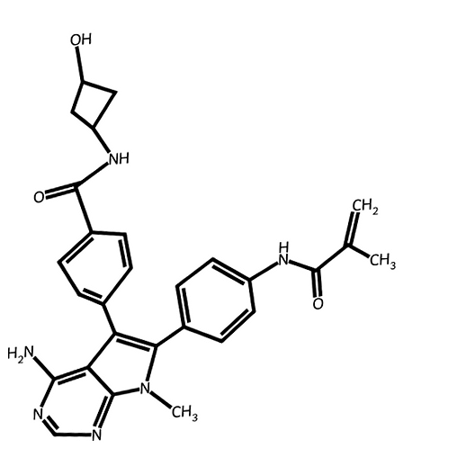 C=C(C)C(=O)Nc1ccc(-c2c(-c3ccc(C(=O)NC4CC(O)C4)cc3)c3c(N)ncnc3n2C)cc1